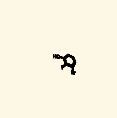 Oc1cccc(Br)c1I